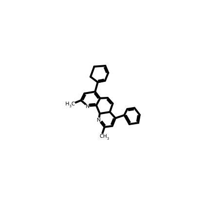 CC1=NC2c3nc(C)cc(C4=CC=CCC4)c3C=CC2C(c2ccccc2)=C1